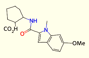 COc1ccc2cc(C(=O)NC3CCCCC3C(=O)O)n(C)c2c1